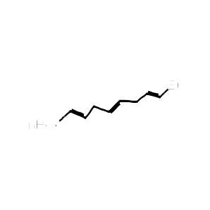 CCC=CCC=CCC=CCCCCCC